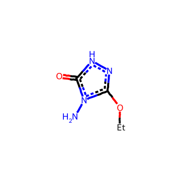 CCOc1n[nH]c(=O)n1N